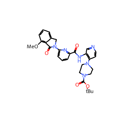 COc1cccc2c1C(=O)N(c1cccc(C(=O)Nc3cnccc3N3CCN(C(=O)OC(C)(C)C)CC3)n1)C2